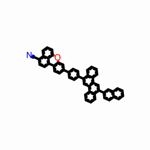 N#Cc1ccc2c3c(cccc13)Oc1cc(-c3ccc(-c4cc5c6ccccc6c(-c6ccc7ccccc7c6)cc5c5ccccc45)cc3)ccc1-2